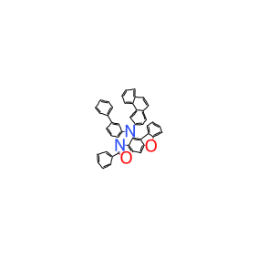 c1ccc(-c2cccc(N(c3ccc4ccc5ccccc5c4c3)c3c4nc(-c5ccccc5)oc4cc4oc5ccccc5c34)c2)cc1